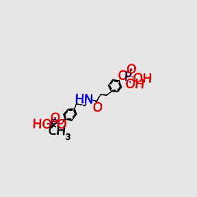 CP(=O)(O)Oc1ccc(CCNC(=O)CCc2ccc(OP(=O)(O)O)cc2)cc1